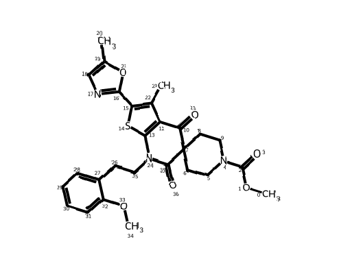 COC(=O)N1CCC2(CC1)C(=O)c1c(sc(-c3ncc(C)o3)c1C)N(CCc1ccccc1OC)C2=O